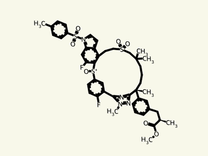 COC(=O)[C@H](C)Cc1cccc([C@@]2(C)CCCC(C)(C)CS(=O)(=O)CCc3c(c(F)cc4c3ccn4S(=O)(=O)c3ccc(C)cc3)[S+]([O-])c3ccc(F)c(c3)-c3nc2nn3C)c1